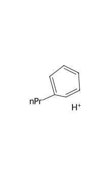 CCCc1ccccc1.[H+]